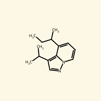 CCC(C)c1cccn2ncc(C(C)C)c12